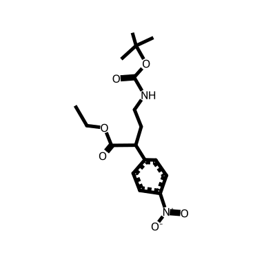 CCOC(=O)C(CCNC(=O)OC(C)(C)C)c1ccc([N+](=O)[O-])cc1